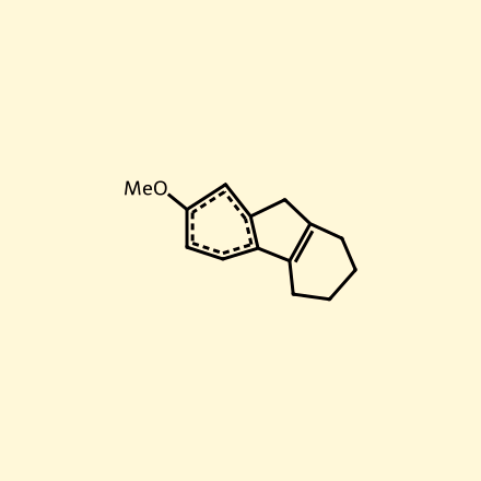 COc1ccc2c(c1)CC1=C2CCCC1